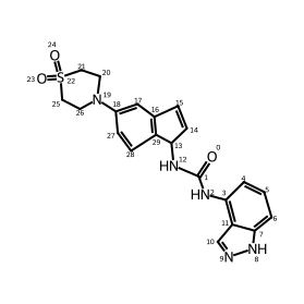 O=C(Nc1cccc2[nH]ncc12)NC1C=Cc2cc(N3CCS(=O)(=O)CC3)ccc21